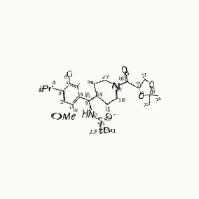 COc1cc(C(C)C)c(Cl)cc1[C@H](N[S+]([O-])C(C)(C)C)C1CCN(C(=O)C2COC(C)(C)O2)CC1